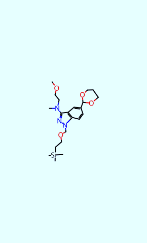 COCCN(C)c1nn(COCC[Si](C)(C)C)c2ccc(C3OCCCO3)cc12